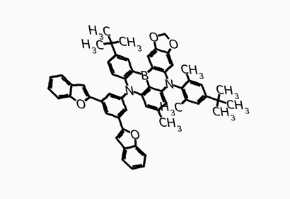 Cc1cc2c3c(c1)N(c1c(C)cc(C(C)(C)C)cc1C)c1cc4c(cc1B3c1cc(C(C)(C)C)ccc1N2c1cc(-c2cc3ccccc3o2)cc(-c2cc3ccccc3o2)c1)OCO4